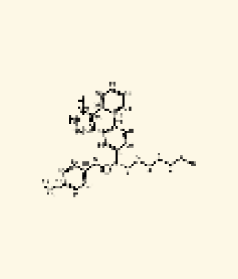 CCCCCCC[C@H](OCc1ccc(OC)cc1)c1ccc(-c2ccccc2-c2nnn[nH]2)cc1